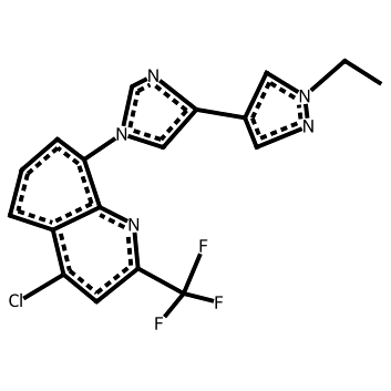 CCn1cc(-c2cn(-c3cccc4c(Cl)cc(C(F)(F)F)nc34)cn2)cn1